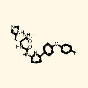 NC(=O)[C@@H](Cc1cnc[nH]1)NC(=O)Nc1cccc(-c2ccc(Oc3ccc(F)cc3)cc2)n1